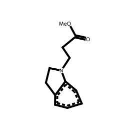 COC(=O)CCN1CCc2ccccc21